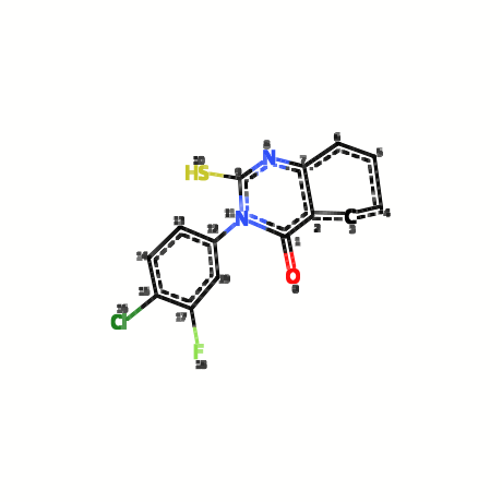 O=c1c2ccccc2nc(S)n1-c1ccc(Cl)c(F)c1